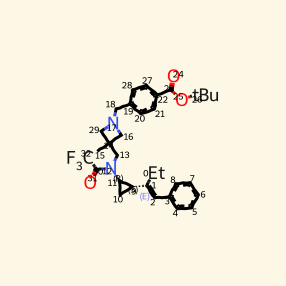 CC/C(=C\c1ccccc1)[C@@H]1C[C@H]1N(CC1(C)CN(Cc2ccc(C(=O)OC(C)(C)C)cc2)C1)C(=O)C(F)(F)F